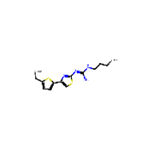 COCCCN/C(N)=N/c1nc(-c2ccc(CNC(C)=O)s2)cs1